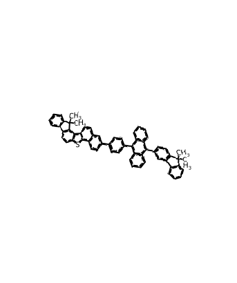 CC1(C)c2ccccc2-c2cc(-c3c4ccccc4c(-c4ccc(-c5ccc6c(ccc7c6sc6ccc8c(c67)C(C)(C)c6ccccc6-8)c5)cc4)c4ccccc34)ccc21